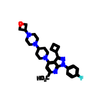 O=C(O)c1cc(N2CCC(N3CCN(C4COC4)CC3)CC2)c2c(C3CCC3)nn(-c3ccc(F)cc3)c2n1